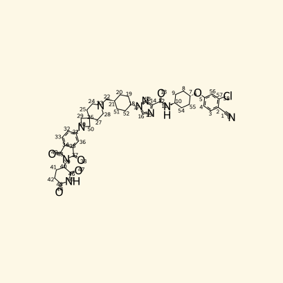 N#Cc1ccc(O[C@H]2CC[C@H](NC(=O)c3ncn([C@H]4CC[C@H](CN5CCC6(CC5)CN(c5ccc7c(c5)C(=O)N(C5CCC(=O)NC5=O)C7=O)C6)CC4)n3)CC2)cc1Cl